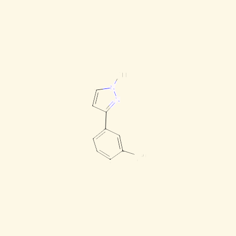 Cn1ccc(-c2cccc(C(C)(C)C)c2)n1